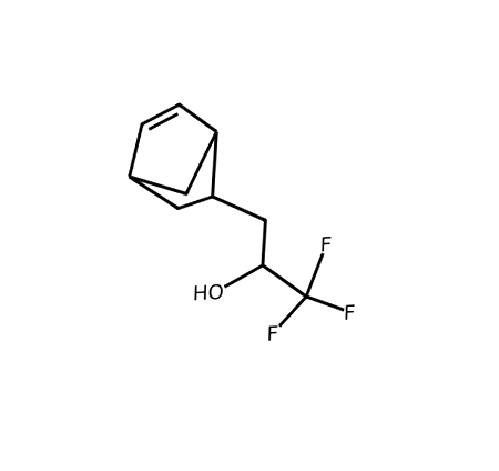 OC(CC1CC2C=CC1C2)C(F)(F)F